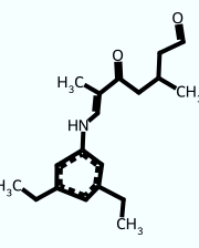 CCc1cc(CC)cc(N/C=C(\C)C(=O)CC(C)CC=O)c1